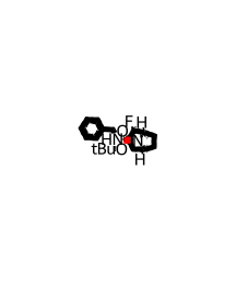 CC(C)(C)OC(=O)N1[C@H]2CC[C@@H]1[C@@H](F)[C@@H](NCc1ccccc1)C2